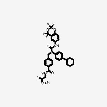 O=C(NCC(F)C(=O)O)c1ccc(CN(C(=O)Nc2ccc3c(c2)C(F)(F)OC(F)(F)O3)c2ccc(C3=CCCCC3)cc2)cc1